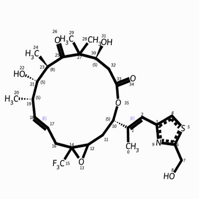 C/C(=C\c1csc(CO)n1)[C@@H]1CC2OC2(C(F)(F)F)C/C=C/[C@H](C)[C@H](O)[C@@H](C)C(=O)C(C)(C)[C@@H](O)CC(=O)O1